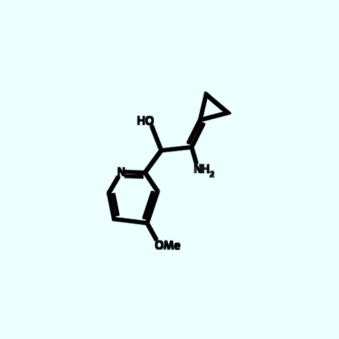 COc1ccnc(C(O)C(N)=C2CC2)c1